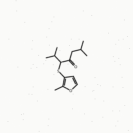 Cc1occc1SC(C(=O)CC(C)C)C(C)C